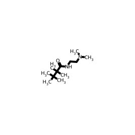 CN(C)CCNC(=O)C(C)(C)C(C)(C)C